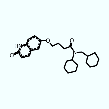 O=C(CCCOc1ccc2[nH]c(=O)ccc2c1)N(CC1CCCCC1)C1CCCCC1